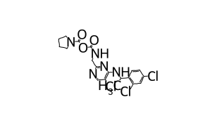 C[C@@H](Nc1nc(CNC(=O)OC(=O)N2CCCC2)ncc1Cl)c1ccc(Cl)cc1Cl